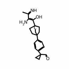 CC(=N)/C(N)=C(\O)C12CCC(c3ccc(C4(C=O)CC4)cc3)(CC1)CC2